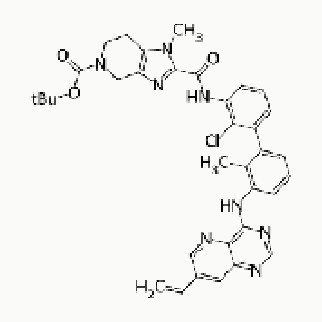 C=Cc1cnc2c(Nc3cccc(-c4cccc(NC(=O)c5nc6c(n5C)CCN(C(=O)OC(C)(C)C)C6)c4Cl)c3C)ncnc2c1